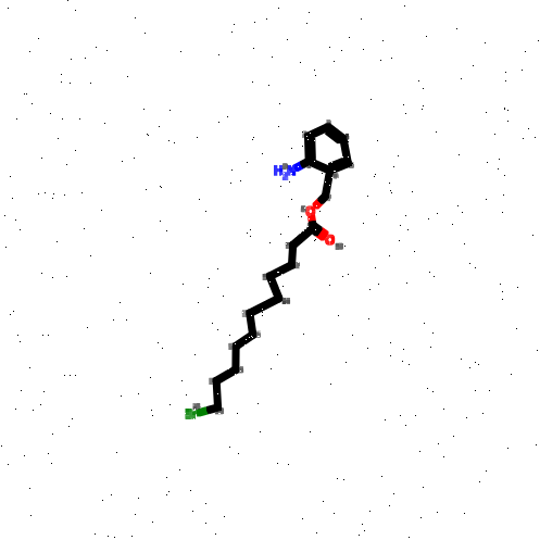 Nc1ccccc1COC(=O)CCCCCCCCCCBr